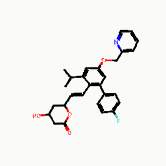 CC(C)c1cc(OCc2ccccn2)cc(-c2ccc(F)cc2)c1/C=C/C1CC(O)CC(=O)O1